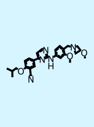 COc1cc(Nc2nccc(-c3ccc(OCC(C)C)c(C#N)c3)n2)ccc1CN1CC(OC)C1